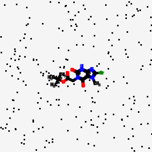 Cn1c(Br)nc2[nH]c(=O)n(CC(=O)OC(C)(C)C)c(=O)c21